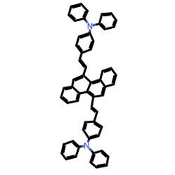 C(=Cc1cc2ccccc2c2c(C=Cc3ccc(N(c4ccccc4)c4ccccc4)cc3)cc3ccccc3c12)c1ccc(N(c2ccccc2)c2ccccc2)cc1